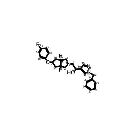 OC(CN1C[C@H]2CC(Oc3ccc(F)cc3)C[C@H]2C1)c1cnn(Cc2ccccc2)c1